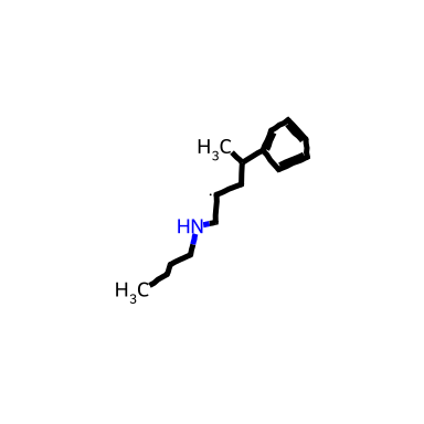 CCCCNC[CH]CC(C)c1ccccc1